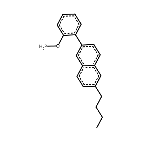 CCCCc1ccc2cc(-c3ccccc3OP)ccc2c1